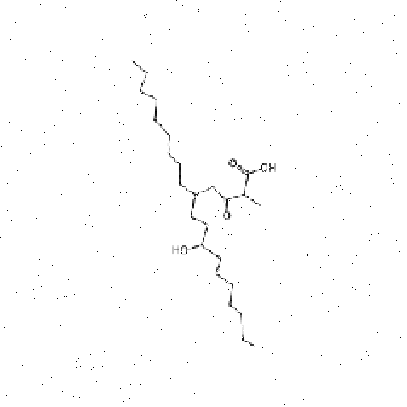 CCCCCCCCCC(CCC(O)CCCCCCC)CC(=O)C(C)C(=O)O